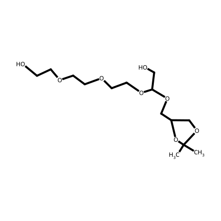 CC1(C)OCC(COC(CO)OCCOCCOCCO)O1